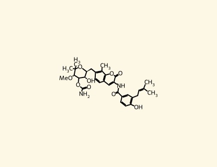 CO[C@@H]1C(OC(N)=O)[C@H](O)[C@H](Cc2ccc3cc(NC(=O)c4ccc(O)c(CC=C(C)C)c4)c(=O)oc3c2C)OC1(C)C